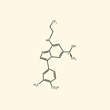 Cc1cc(-c2cnc3c(NCCC(F)(F)F)cc([C@H](C)O)cn23)ccc1C(=O)O